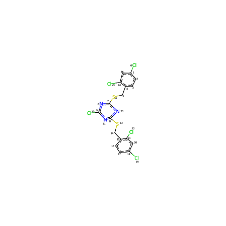 Clc1ccc(CSc2nc(Cl)nc(SCc3ccc(Cl)cc3Cl)n2)c(Cl)c1